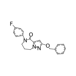 O=C1c2cc(OCc3ccccc3)nn2CCCN1c1ccc(F)cc1